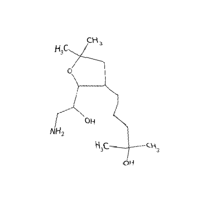 CC(C)(O)CCCC1CC(C)(C)OC1C(O)CN